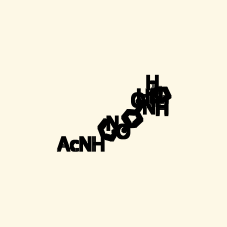 CC(=O)Nc1ccnc(Oc2ccc(C(=O)N[C@@H]3C[C@H]4CC[C@@H]3N4)cc2)c1